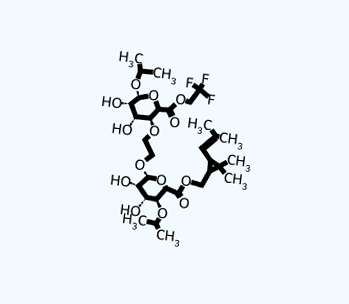 CC(C)=CC1C(COC(=O)C2O[C@@H](OCCO[C@@H]3C(C(=O)OCC(F)(F)F)O[C@@H](OC(C)C)[C@@H](O)[C@H]3O)[C@@H](O)[C@@H](O)[C@@H]2OC(C)C)C1(C)C